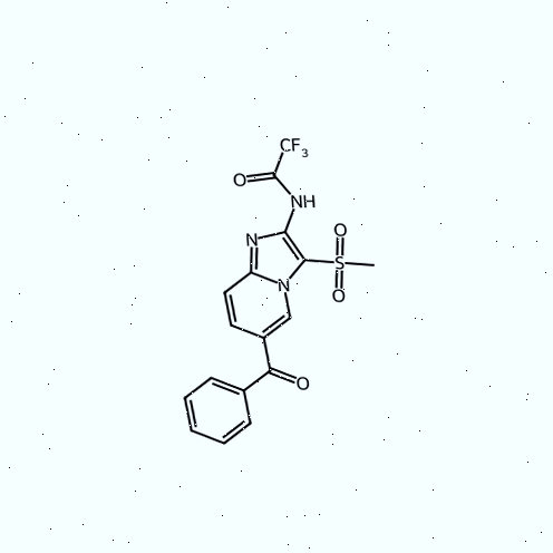 CS(=O)(=O)c1c(NC(=O)C(F)(F)F)nc2ccc(C(=O)c3ccccc3)cn12